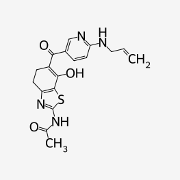 C=CCNc1ccc(C(=O)C2=C(O)c3sc(NC(C)=O)nc3CC2)cn1